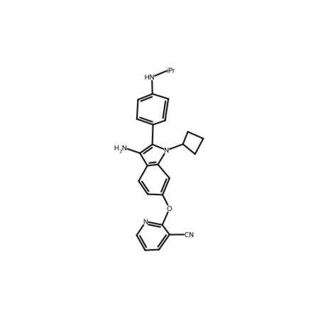 CC(C)Nc1ccc(-c2c(N)c3ccc(Oc4ncccc4C#N)cc3n2C2CCC2)cc1